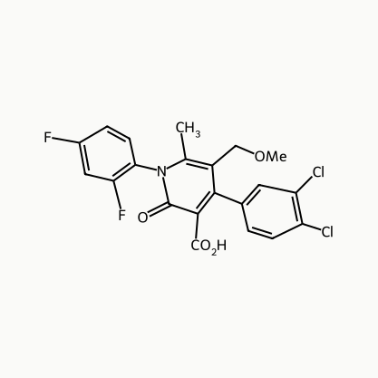 COCc1c(-c2ccc(Cl)c(Cl)c2)c(C(=O)O)c(=O)n(-c2ccc(F)cc2F)c1C